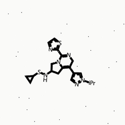 CC(C)n1cc(C2=C3CC(NSC4CC4)CN3C(c3nccs3)=NC2)cn1